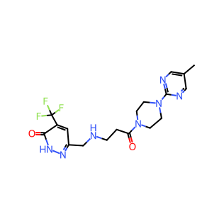 Cc1cnc(N2CCN(C(=O)CCNCc3cc(C(F)(F)F)c(=O)[nH]n3)CC2)nc1